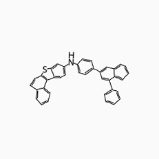 c1ccc(-c2cc(-c3ccc(Nc4ccc5c(c4)sc4ccc6ccccc6c45)cc3)cc3ccccc23)cc1